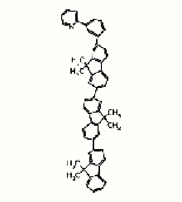 CC1(C)c2ccccc2-c2ccc(-c3ccc4c(c3)C(C)(C)c3cc(-c5ccc6c(c5)C(C)(C)c5cc(-c7cccc(-c8ccccn8)c7)ccc5-6)ccc3-4)cc21